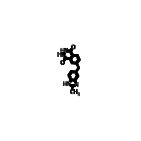 Cc1nc2cc(Cc3ccc4c(=O)[nH][nH]c(=O)c4c3)ccc2[nH]1